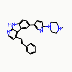 CN1CCN(c2ccc(-c3ccc4[nH]c5nccc(C=Cc6ccccc6)c5c4c3)cn2)CC1